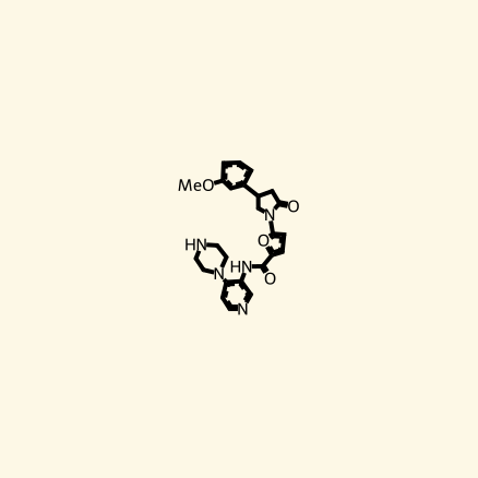 COc1cccc(C2CC(=O)N(c3ccc(C(=O)Nc4cnccc4N4CCNCC4)o3)C2)c1